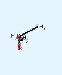 CCCCCCCCCCCCCCCC(C)(C)O[SiH2]CCCOCC1CO1